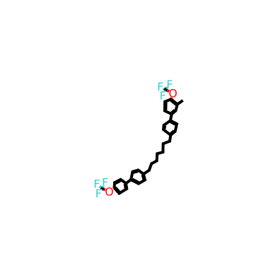 Cc1cc(-c2ccc(CCCCCCCc3ccc(-c4ccc(OC(F)(F)F)cc4)cc3)cc2)ccc1OC(F)(F)F